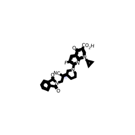 N#C/C(CN1C(=O)c2ccccc2C1=O)=C1/CCCN(c2nc3c(cc2F)c(=O)c(C(=O)O)cn3C2CC2)C1